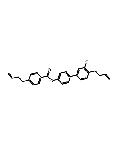 C=CCCc1ccc(C(=O)Oc2ccc(-c3ccc(CCC=C)c(Cl)c3)cc2)cc1